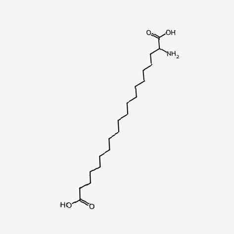 NC(CCCCCCCCCCCCCCCCCC(=O)O)C(=O)O